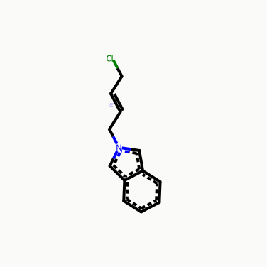 ClC/C=C/Cn1cc2ccccc2c1